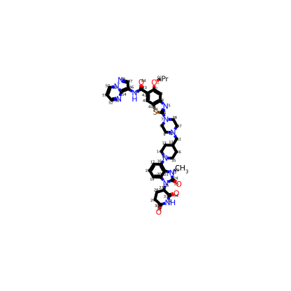 CC(C)Oc1cc2nc(N3CCN(CC4CCN(c5cccc6c5n(C)c(=O)n6C5CCC(=O)NC5=O)CC4)CC3)sc2cc1C(=O)Nc1cnn2cccnc12